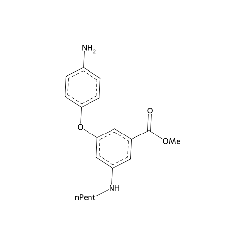 CCCCCNc1cc(Oc2ccc(N)cc2)cc(C(=O)OC)c1